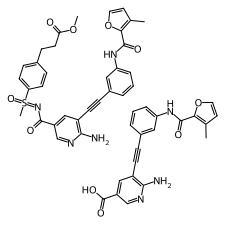 COC(=O)CCc1ccc(S(C)(=O)=NC(=O)c2cnc(N)c(C#Cc3cccc(NC(=O)c4occc4C)c3)c2)cc1.Cc1ccoc1C(=O)Nc1cccc(C#Cc2cc(C(=O)O)cnc2N)c1